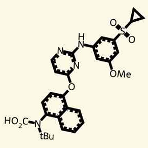 COc1cc(Nc2nccc(Oc3ccc(N(C(=O)O)C(C)(C)C)c4ccccc34)n2)cc(S(=O)(=O)C2CC2)c1